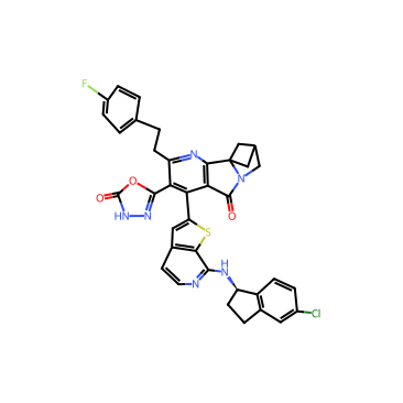 O=C1c2c(nc(CCc3ccc(F)cc3)c(-c3n[nH]c(=O)o3)c2-c2cc3ccnc(N[C@@H]4CCc5cc(Cl)ccc54)c3s2)C23CC(CN12)C3